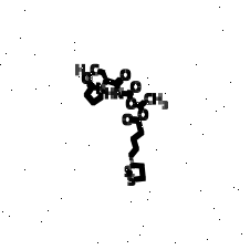 CC[C@@H](C(=O)NC(=O)OC(C)OC(=O)CCCC[C@@H]1CCSS1)N1CCCC1=O